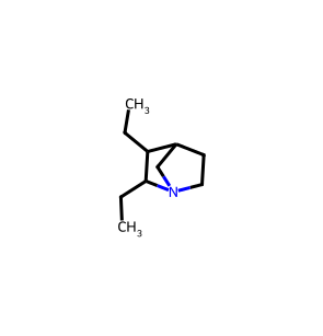 CCC1C2CCN(C2)C1CC